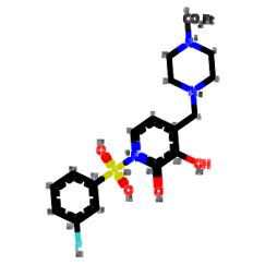 CCOC(=O)N1CCN(Cc2ccn(S(=O)(=O)c3cccc(F)c3)c(=O)c2O)CC1